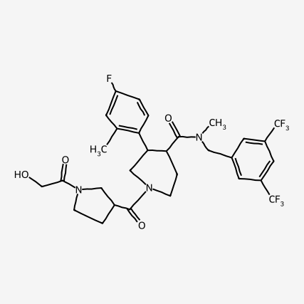 Cc1cc(F)ccc1C1CN(C(=O)C2CCN(C(=O)CO)C2)CCC1C(=O)N(C)Cc1cc(C(F)(F)F)cc(C(F)(F)F)c1